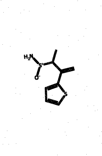 C=C(c1cccs1)C(C)[S+](N)[O-]